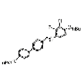 CCCCCc1ccc(-c2ccc(COc3ccc(OCCCC)c(Cl)c3F)cc2)cc1